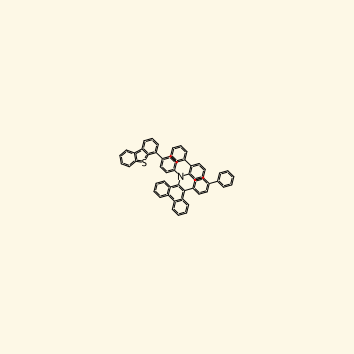 c1ccc(-c2ccc(-c3c(N(c4ccc(-c5cccc6c5sc5ccccc56)cc4)c4ccccc4-c4ccccc4)c4ccccc4c4ccccc34)cc2)cc1